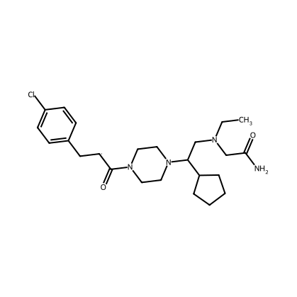 CCN(CC(N)=O)CC(C1CCCC1)N1CCN(C(=O)[CH]Cc2ccc(Cl)cc2)CC1